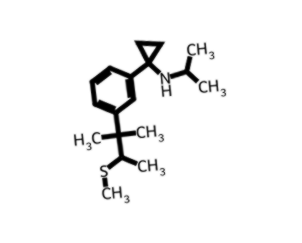 CSC(C)C(C)(C)c1cccc(C2(NC(C)C)CC2)c1